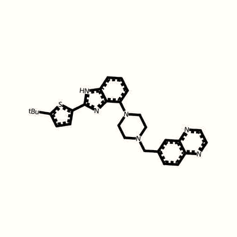 CC(C)(C)c1ccc(-c2nc3c(N4CCN(Cc5ccc6nccnc6c5)CC4)cccc3[nH]2)s1